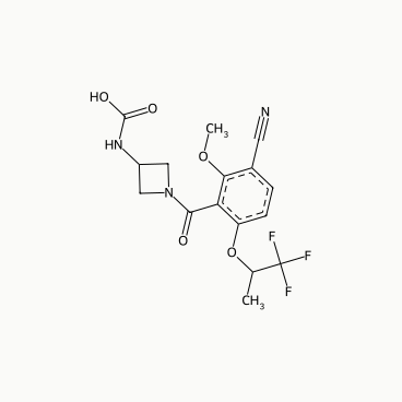 COc1c(C#N)ccc(OC(C)C(F)(F)F)c1C(=O)N1CC(NC(=O)O)C1